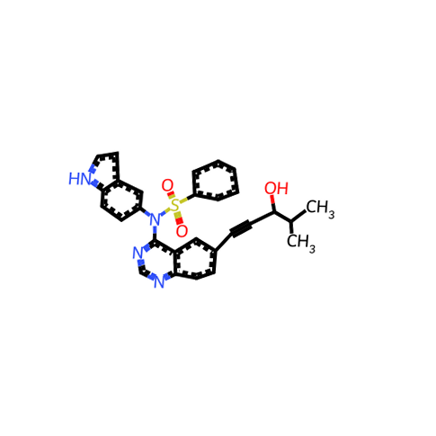 CC(C)C(O)C#Cc1ccc2ncnc(N(c3ccc4[nH]ccc4c3)S(=O)(=O)c3ccccc3)c2c1